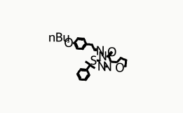 CCCCOc1ccc(CC=Nn2c(SC(C)(C)c3ccccc3)nnc(C3CCCO3)c2=O)cc1